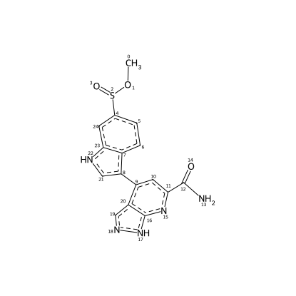 COS(=O)c1ccc2c(-c3cc(C(N)=O)nc4[nH]ncc34)c[nH]c2c1